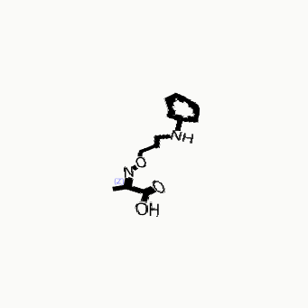 C/C(=N/OCCCNc1ccccc1)C(=O)O